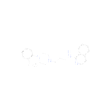 COc1ccccc1N1CCN(CCCNc2nccc3ccccc23)CC1